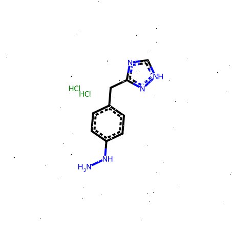 Cl.Cl.NNc1ccc(Cc2nc[nH]n2)cc1